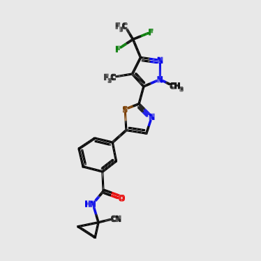 Cn1nc(C(F)(F)C(F)(F)F)c(C(F)(F)F)c1-c1ncc(-c2cccc(C(=O)NC3(C#N)CC3)c2)s1